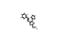 Nc1nc(-c2cccs2)c(/N=N/c2ccccc2)s1